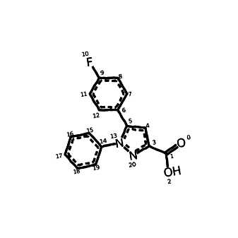 O=C(O)c1cc(-c2ccc(F)cc2)n(-c2ccccc2)n1